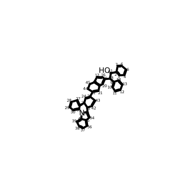 OC(c1ccccc1)C(c1ccccc1)c1ccc2c(c1)C=C(C1=CC3c4ccccc4-n4c(cc5ccccc54)C3C=C1)CC2